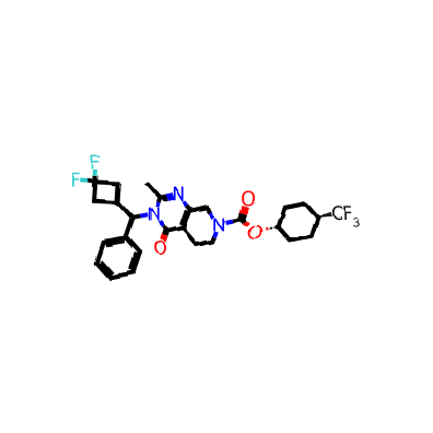 Cc1nc2c(c(=O)n1C(c1ccccc1)C1CC(F)(F)C1)CCN(C(=O)O[C@H]1CC[C@H](C(F)(F)F)CC1)C2